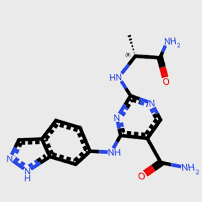 C[C@@H](Nc1ncc(C(N)=O)c(Nc2ccc3cn[nH]c3c2)n1)C(N)=O